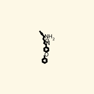 CC#CC(N)Cc1cc(-c2ccc(OCc3ccccc3)cc2)no1